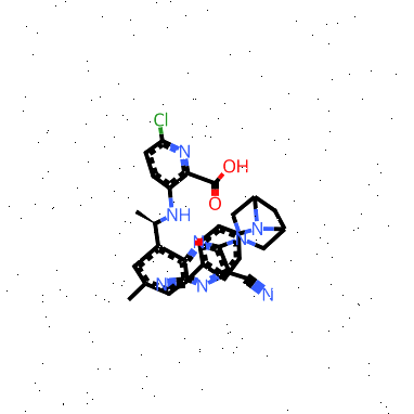 Cc1cc([C@@H](C)Nc2ccc(Cl)nc2C(=O)O)c2nc(N3CC4CC(C3)N4c3ccc(C#N)cc3)c(C#N)nc2c1